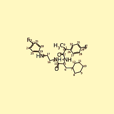 C[C@H](C(=O)NC(CC1CCCCC1)C(=O)NCCNc1ccc(F)cc1)c1ccc(F)cc1